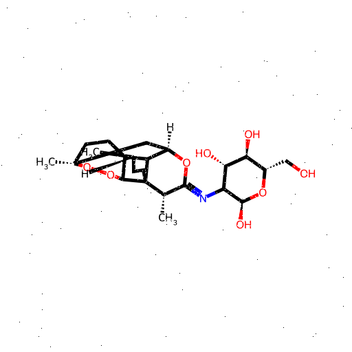 C[C@@H]1CCC23C4OO[C@@]5(C)CCC41C2[C@@H](C5)O/C(=N\C1[C@H](O)O[C@@H](CO)[C@H](O)[C@H]1O)[C@@H]3C